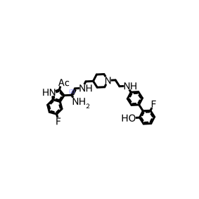 CC(=O)c1[nH]c2ccc(F)cc2c1/C(N)=C/NCC1CCN(CCNc2ccc(-c3c(O)cccc3F)cc2)CC1